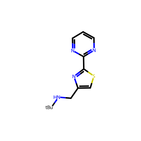 CC(C)(C)NCc1csc(-c2ncccn2)n1